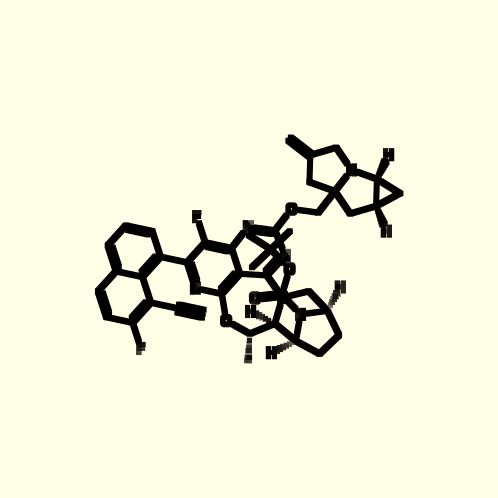 C#Cc1c(F)ccc2cccc(-c3nc4c5c(nc(OCC67CC(=C)CN6[C@@H]6C[C@@H]6C7)nc5c3F)N3C[C@H]5CC[C@@H]([C@H]3[C@H](C)O4)N5C(=O)OC(C)(C)C)c12